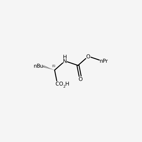 CCCC[C@H](NC(=O)OCCC)C(=O)O